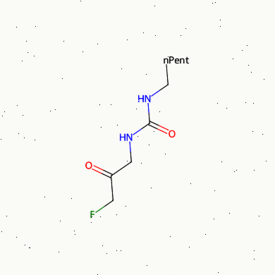 CCCCCCNC(=O)NCC(=O)CF